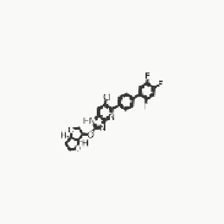 Fc1cc(F)c(-c2ccc(-c3nc4nc(OC5CO[C@@H]6CCO[C@H]56)[nH]c4cc3Cl)cc2)cc1F